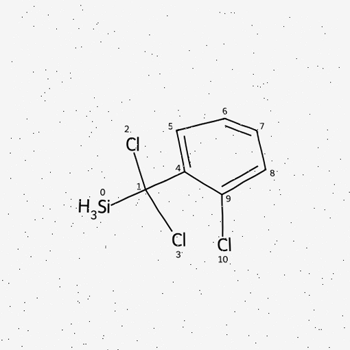 [SiH3]C(Cl)(Cl)c1ccccc1Cl